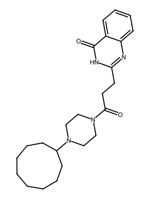 O=C(CCc1nc2ccccc2c(=O)[nH]1)N1CCN(C2CCCCCCCC2)CC1